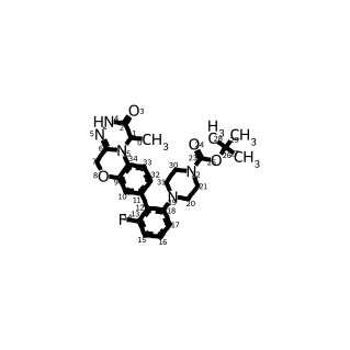 CC1C(=O)NN=C2COc3cc(-c4c(F)cccc4N4CCN(C(=O)OC(C)(C)C)CC4)ccc3N21